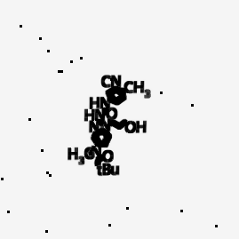 Cc1ccc(NC(=O)Nc2nc3cc(N(C)C(=O)CC(C)(C)C)ccc3n2CCCO)cc1C#N